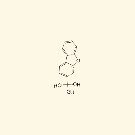 OC(O)(O)c1ccc2c(c1)oc1ccccc12